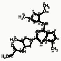 C=CC(=O)NC1CN(c2nc(Nc3cn(C)nc3OC)c3ncc(C)n3n2)CC1C